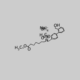 CCOC(=O)CCCCCCN(Cc1ccc(-c2ccccc2CO)cc1)S(C)(=O)=O.[BH4-].[Na+]